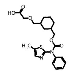 Cc1cnc(N(C(=O)OCC2CCCC(COCC(=O)O)C2)c2ccccc2)s1